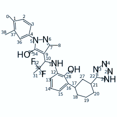 Cc1ccc(-n2nc(C)c(C(Nc3cccc(C4CCCC(c5nnn[nH]5)C4)c3O)C(C)(F)F)c2O)cc1C